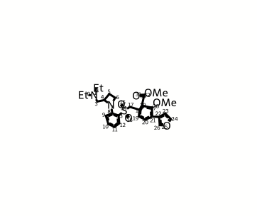 CCN(CC)CC1CCN1c1ccccc1S(=O)(=O)Cc1ccc(-c2ccoc2)c(OC)c1C(=O)OC